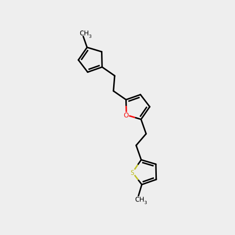 CC1=CC=C(CCc2ccc(CCc3ccc(C)s3)o2)C1